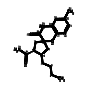 CCCCN1CC2(C[C@H]1C(N)=O)Oc1ncc(C)cc1NC2=O